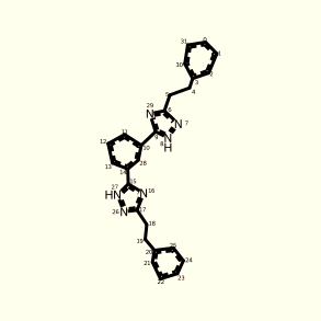 c1ccc(CCc2n[nH]c(-c3cccc(-c4nc(CCc5ccccc5)n[nH]4)c3)n2)cc1